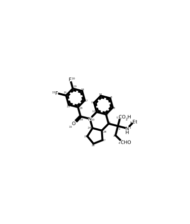 CCNC(CC=O)(C(=O)O)C1c2ccccc2N(C(=O)c2ccc(F)c(F)c2)C2CCCC21